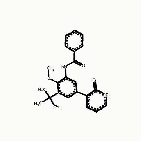 COc1c(NC(=O)c2ccccc2)cc(-c2ccc[nH]c2=O)cc1C(C)(C)C